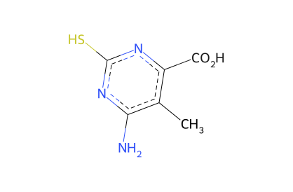 Cc1c(N)nc(S)nc1C(=O)O